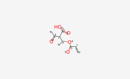 C=CC(=O)OC(C)C(C(C)=O)C(=O)O